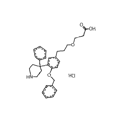 Cl.O=C(O)CCOCCCc1ccc(OCc2ccccc2)c(C2(c3ccccc3)CCNCC2)c1